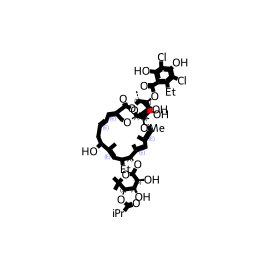 CCc1c(Cl)c(O)c(Cl)c(O)c1C(=O)O[C@H]1[C@H](O)[C@H](OC)[C@H](OC/C2=C\C=C\CC(O)/C(C)=C/C(CC)[C@@H](OC3OC(C)(C)[C@@H](OC(=O)C(C)C)[C@H](O)[C@@H]3O)/C(C)=C/C(C)=C/CC(C(C)O)OC2=O)O[C@@H]1C